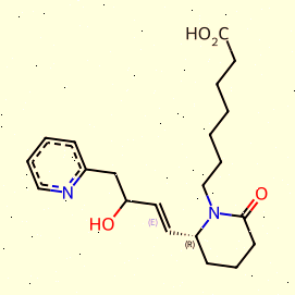 O=C(O)CCCCCCN1C(=O)CCC[C@@H]1/C=C/C(O)Cc1ccccn1